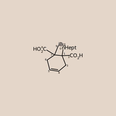 CCCCCCCC1(C(=O)O)CC=CCC1(C(=O)O)C(C)CC